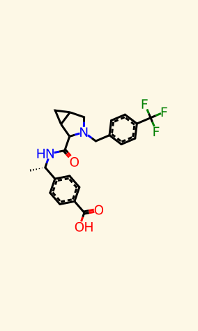 C[C@H](NC(=O)C1C2CC2CN1Cc1ccc(C(F)(F)F)cc1)c1ccc(C(=O)O)cc1